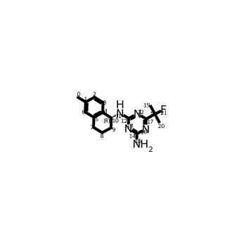 Cc1ccc2c(c1)CCC[C@H]2Nc1nc(N)nc(C(C)(C)F)n1